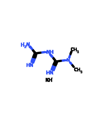 CN(C)C(=N)NC(=N)N.[KH]